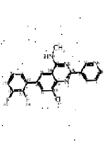 CNc1nc(-c2cccnc2)nc2c(Cl)cc(-c3cccc(F)c3F)cc12